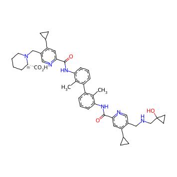 Cc1c(NC(=O)c2cc(C3CC3)c(CNCC3(O)CC3)cn2)cccc1-c1cccc(NC(=O)c2cc(C3CC3)c(CN3CCCC[C@H]3C(=O)O)cn2)c1C